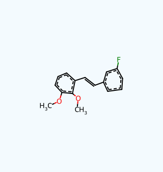 COc1cccc(/C=C/c2cccc(F)c2)c1OC